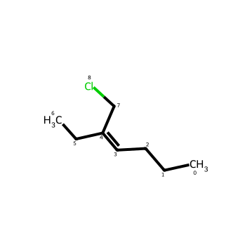 CCCC=C(CC)CCl